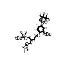 C[SiH](C)OCC(CCOc1ccc(B2OC(C)(C)C(C)(C)O2)cc1C(C)(C)C)CO[Si](C)(C)C(C)(C)C